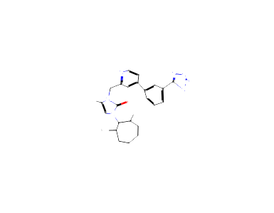 CCCCc1cn(C2C(C)CCCCC2C(C)=O)c(=O)n1Cc1cc(-c2cccc(-c3nnn[nH]3)c2)ccn1